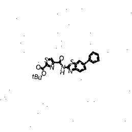 CC(C)(C)OC(=O)c1nc(C(=O)Nc2nc3ccc(-c4ccccc4)cc3s2)cs1